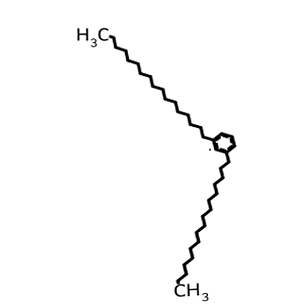 CCCCCCCCCCCCCCCCCc1[c]c(CCCCCCCCCCCCCCCCC)ccc1